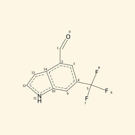 O=Cc1cc(C(F)(F)F)cc2[nH]ccc12